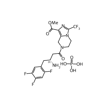 COC(=O)c1nc(C(F)(F)F)n2c1CN(C(=O)C[C@H](N)Cc1cc(F)c(F)cc1F)CC2.O=P(O)(O)O